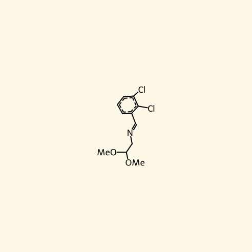 COC(CN=Cc1cccc(Cl)c1Cl)OC